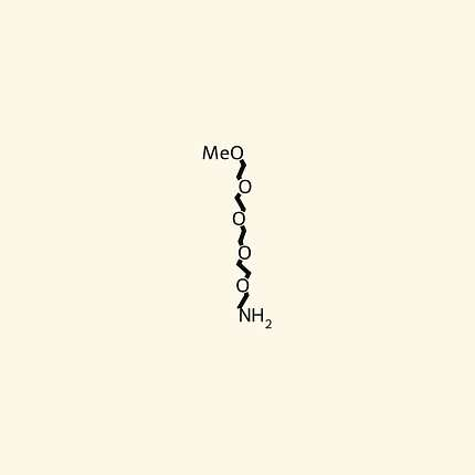 COCCOCCOCCOCCOCCN